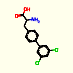 NC(Cc1ccc(-c2cc(Cl)cc(Cl)c2)cc1)C(=O)O